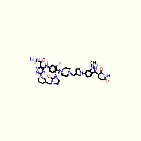 CN1CCN(CC2CCCN(c3nnc(C(N)=O)c(Nc4ccc(N5CCN(CC6CCN(c7ccc8c(C9CCC(=O)NC9=O)nn(C)c8c7)C6)CC5)c(F)c4)n3)C2)C1=O